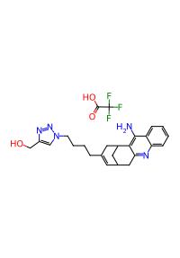 Nc1c2c(nc3ccccc13)CC1C=C(CCCCn3cc(CO)nn3)CC2C1.O=C(O)C(F)(F)F